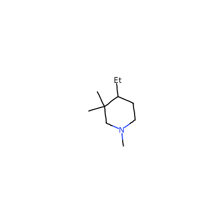 CCC1CCN(C)CC1(C)C